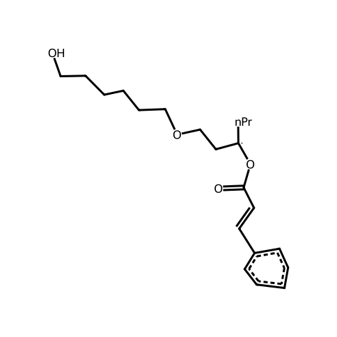 CCC[C](CCOCCCCCCO)OC(=O)/C=C/c1ccccc1